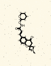 CN1CC2(CC(=O)c3cc(C=CC(=O)NOC4CCCCO4)ccc3O2)C1